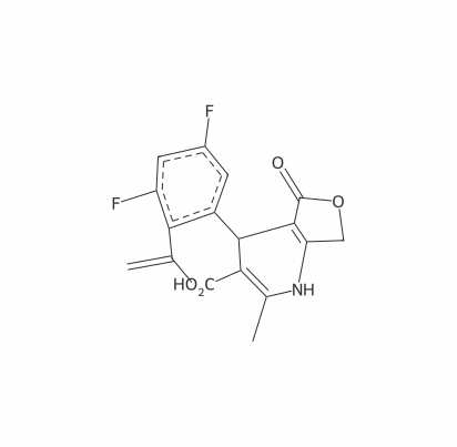 C=C(C)c1c(F)cc(F)cc1C1C(C(=O)O)=C(C)NC2=C1C(=O)OC2